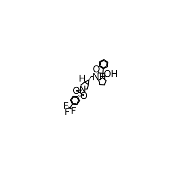 O=C(NC[C@H]1C2CN(S(=O)(=O)c3ccc(C(F)(F)F)cc3)C[C@@H]21)C(O)(c1ccccc1)C1CCCC1